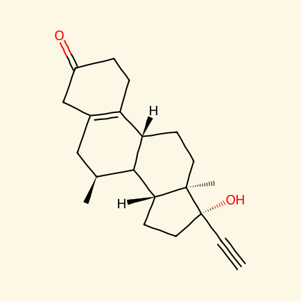 C#C[C@@]1(O)CC[C@@H]2C3[C@@H](C)CC4=C(CCC(=O)C4)[C@@H]3CC[C@]21C